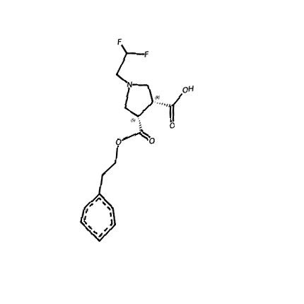 O=C(O)[C@H]1CN(CC(F)F)C[C@H]1C(=O)OCCc1ccccc1